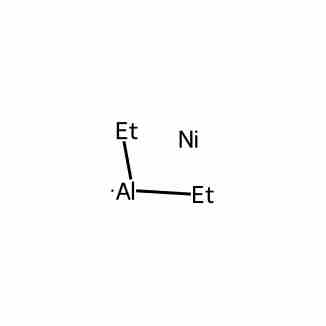 C[CH2][Al][CH2]C.[Ni]